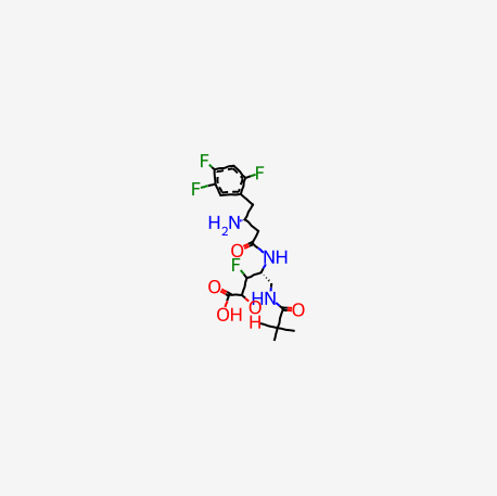 CC(C)(C)C(=O)NC[C@@H](NC(=O)C[C@H](N)Cc1cc(F)c(F)cc1F)C(F)C(O)C(=O)O